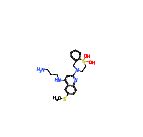 CSc1ccc2nc(N3CCS(O)(O)c4ccccc4C3)cc(NCCCN)c2c1